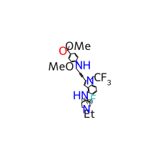 CCN1CC[C@H](Nc2cccc3c2cc(C#CCNc2ccc(C(=O)OC)cc2OC)n3CC(F)(F)F)[C@H](F)C1